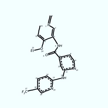 C=N/C=C(NC(=O)c1ccnc(Nc2ccc(C(F)(F)F)cn2)c1)\C(=C/C)OCC